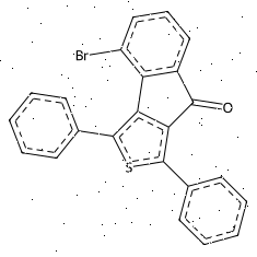 O=C1c2cccc(Br)c2-c2c(-c3ccccc3)sc(-c3ccccc3)c21